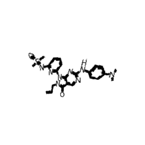 C=CCn1c(=O)c2cnc(Nc3ccc(N(C)C)cc3)nc2n1-c1cccc(N=S(C)(C)=O)n1